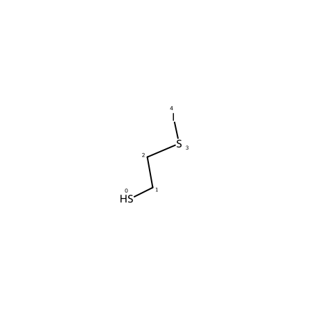 SCCSI